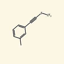 Cc1cccc(C#CSC(F)(F)F)c1